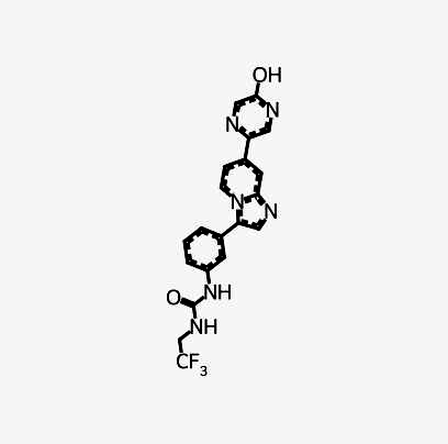 O=C(NCC(F)(F)F)Nc1cccc(-c2cnc3cc(-c4cnc(O)cn4)ccn23)c1